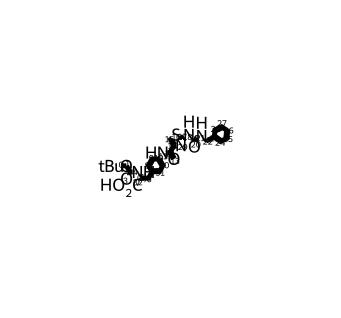 CC(C)(C)OC(=O)N[C@H](Cc1ccc(NC(=O)c2csc(NC(=O)NCc3ccccc3)n2)cc1)C(=O)O